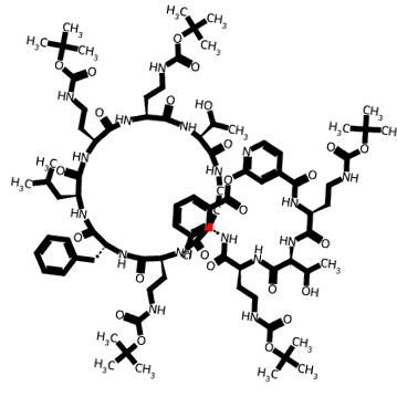 CC(C)C[C@@H]1NC(=O)[C@@H](Cc2ccccc2)NC(=O)[C@H](CCNC(=O)OC(C)(C)C)NC(=O)[C@@H](NC(=O)[C@H](CCNC(=O)OC(C)(C)C)NC(=O)[C@@H](NC(=O)[C@H](CCNC(=O)OC(C)(C)C)NC(=O)c2ccnc(OC(=O)c3cccc(Cl)c3)c2)C(C)O)CCNC(=O)[C@H](C(C)O)NC(=O)[C@H](CCNC(=O)OC(C)(C)C)NC(=O)[C@H](CCNC(=O)OC(C)(C)C)NC1=O